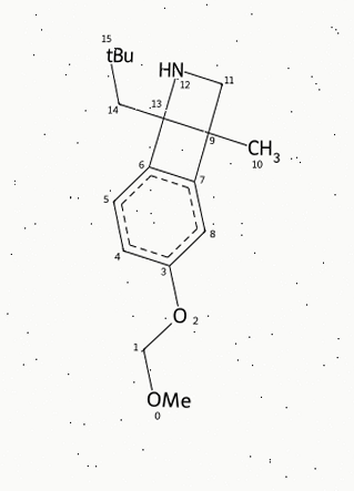 COCOc1ccc2c(c1)C1(C)CNC21CC(C)(C)C